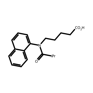 CC(C)C(=O)N(CCCCC(=O)O)c1cccc2ccccc12